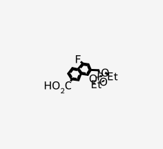 CCOP(=O)(Cc1cc(F)c2ccc(C(=O)O)cc2c1)OCC